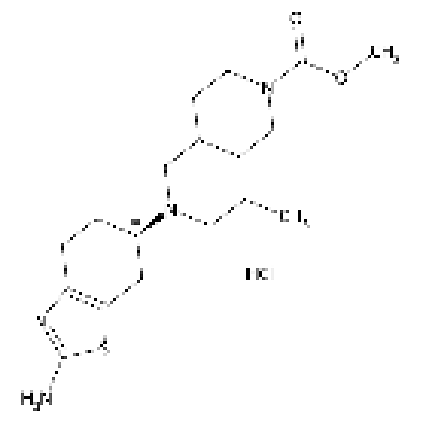 CCCN(CC1CCN(C(=O)OC)CC1)[C@@H]1CCc2nc(N)sc2C1.Cl